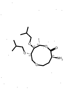 CC(C)CO[C@H]1[C@H](C)OC(=O)[C@@H](N)CCOC[C@@H]1OCC(C)C